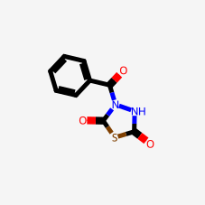 O=C(c1ccccc1)n1[nH]c(=O)sc1=O